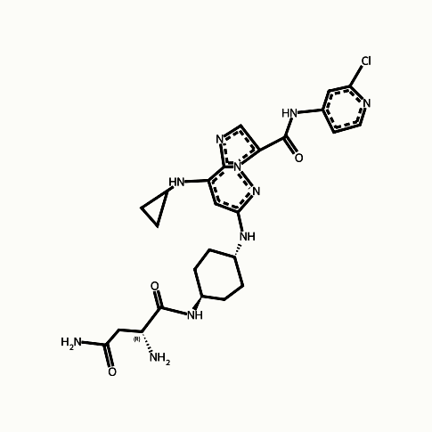 NC(=O)C[C@@H](N)C(=O)N[C@H]1CC[C@H](Nc2cc(NC3CC3)c3ncc(C(=O)Nc4ccnc(Cl)c4)n3n2)CC1